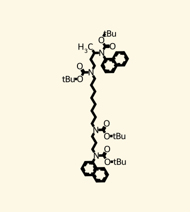 CC(CCN(CCCCCCCCN(CCCN(C(=O)OC(C)(C)C)c1cccc2ccccc12)C(=O)OC(C)(C)C)C(=O)OC(C)(C)C)N(C(=O)OC(C)(C)C)c1cccc2ccccc12